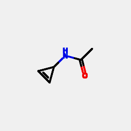 CC(=O)NC1C=C1